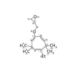 CC/C1=C/C(C)(C)/C=C(OCC2CO2)\C=C/C1(C)C